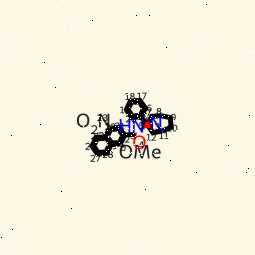 COc1c(C(=O)NC2CC3CCC(C2)N3Cc2ccccc2)cc([N+](=O)[O-])c2ccccc12